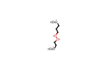 CCCCCCCCCCCCCOOCCCCCCCCCCCC